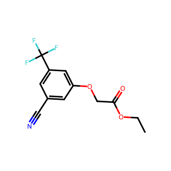 CCOC(=O)COc1cc(C#N)cc(C(F)(F)F)c1